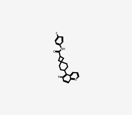 O=C(Nc1ccc(F)cc1)C1CC2(CCC(c3c(F)ccc4ncccc34)CC2)C1